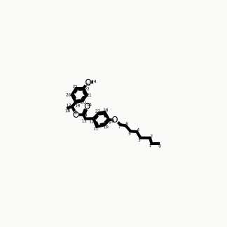 CCCCCCCCOc1ccc(CC(=O)OC(C)c2ccc(OC)cc2)cc1